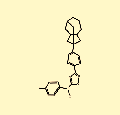 Cc1ccc([S+]([O-])c2nc(-c3ccc(C45CC6CCCC(C4)C(C6)C5)cc3)ns2)cc1